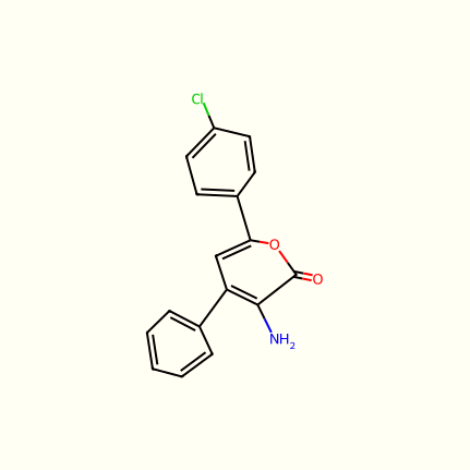 Nc1c(-c2ccccc2)cc(-c2ccc(Cl)cc2)oc1=O